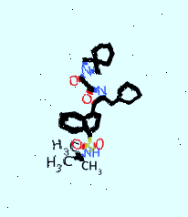 CC(C)(C)NS(=O)(=O)c1ccc(-c2oc(C(=O)N3CC4(CCCCC4)C3)nc2CC2CCCCC2)c2ccccc12